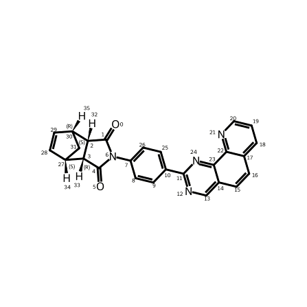 O=C1[C@@H]2[C@H](C(=O)N1c1ccc(-c3ncc4ccc5cccnc5c4n3)cc1)[C@@H]1C=C[C@H]2C1